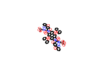 CO[Si](CCNC(=O)C(c1ccc2oc3ccccc3c2c1)N1C(=O)c2cc(Oc3ccccc3)c3c4c(Oc5ccccc5)cc5c6c(cc(Oc7ccccc7)c(c7c(Oc8ccccc8)cc(c2c37)C1=O)c64)C(=O)N(C(C(=O)NCC[Si](OC)(OC)OC)c1ccc2oc3ccccc3c2c1)C5=O)(OC)OC